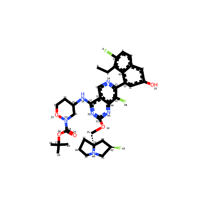 CCc1c(F)ccc2cc(O)cc(-c3ncc4c(NC5CCON(C(=O)OC(C)(C)C)C5)nc(OC[C@@]56CCCN5C[C@H](F)C6)nc4c3F)c12